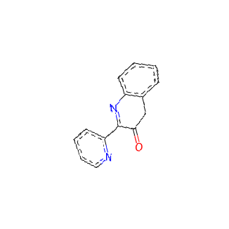 O=C1Cc2ccccc2N=C1c1ccccn1